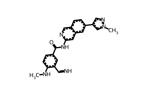 CNc1ccc(C(=O)Nc2cc3cc(-c4cnn(C)c4)ccc3cn2)cc1C=N